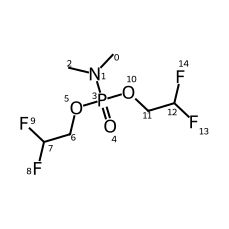 CN(C)P(=O)(OCC(F)F)OCC(F)F